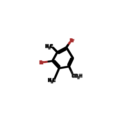 Cc1c(Br)cc(C(=O)O)c(C)c1Br